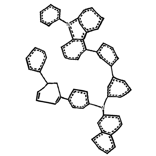 C1=CC(c2ccccc2)CC(c2ccc(N(c3cccc(-c4cccc(-c5cccc6c5c5ccccc5n6-c5ccccc5)c4)c3)c3ccc4ccccc4c3)cc2)=C1